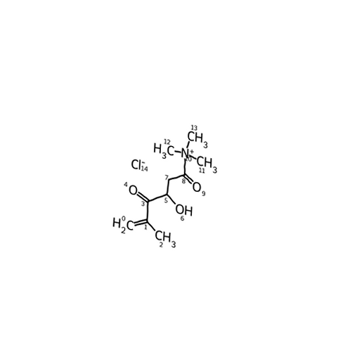 C=C(C)C(=O)C(O)CC(=O)[N+](C)(C)C.[Cl-]